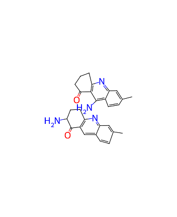 Cc1ccc2c(N)c3c(nc2c1)CCCC3=O.Cc1ccc2cc3c(nc2c1)CCC(N)C3=O